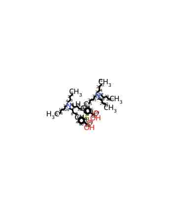 CCCCC[N+](CCCCC)(CCCCC)CCCCC.CCCCC[N+](CCCCC)(CCCCC)CCCCC.O=C(O)c1ccccc1Sc1ccccc1C(=O)O